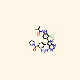 C=C(C)C(=O)Nc1ccc(-c2c(C3=CC[C@@H](C(=O)N4CCCC4)CC3)c3c(N)ncnc3n2C)c(Cl)c1